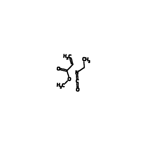 C=CC(=O)OC.CCN=C=O